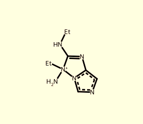 CCNC1=Nc2cncn2[N+]1(N)CC